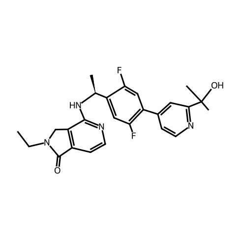 CCN1Cc2c(ccnc2N[C@@H](C)c2cc(F)c(-c3ccnc(C(C)(C)O)c3)cc2F)C1=O